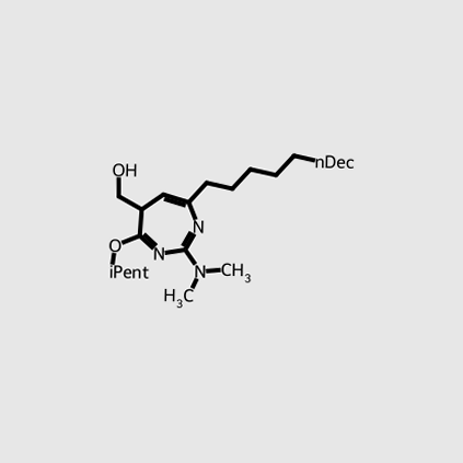 CCCCCCCCCCCCCCCC1=CC(CO)C(OC(C)CCC)=NC(N(C)C)=N1